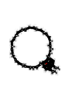 CC1=CC2=CC(=C1)C21OCCOCCOCCOCCOCCCOCCOCCOCCOCCOCC12c1cc(C)cc2c1